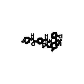 COc1cc(C(=O)NC2CCN(C)CC2)ccc1Nc1ncc2c(n1)-c1c(nn(C)c1-c1ccccc1Cl)CC2C